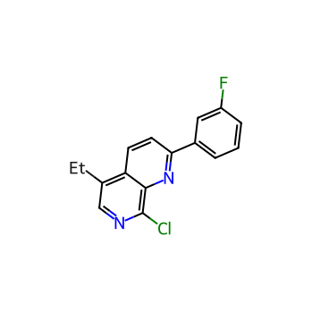 [CH2]Cc1cnc(Cl)c2nc(-c3cccc(F)c3)ccc12